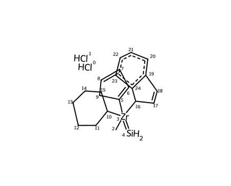 Cl.Cl.[CH3][Zr](=[SiH2])([C]1=CC=CC1)([CH]1CCCCC1)[CH]1C=Cc2ccccc21